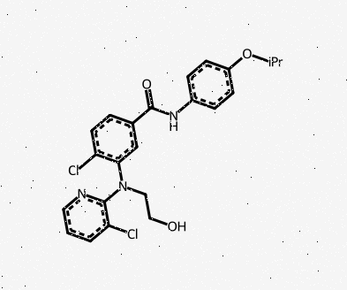 CC(C)Oc1ccc(NC(=O)c2ccc(Cl)c(N(CCO)c3ncccc3Cl)c2)cc1